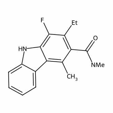 CCc1c(C(=O)NC)c(C)c2c([nH]c3ccccc32)c1F